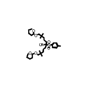 [C-]#[N+]C(CCCC(C)(C)COC1CCCCO1)(CCCC(C)(C)COC1CCCCO1)S(=O)(=O)c1ccc(C)cc1